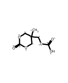 CC1(COC(=O)O)COC(=O)OC1